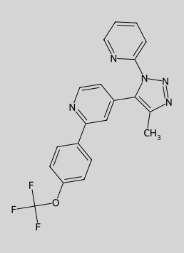 Cc1nnn(-c2ccccn2)c1-c1ccnc(-c2ccc(OC(F)(F)F)cc2)c1